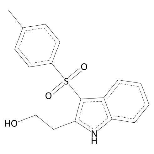 Cc1ccc(S(=O)(=O)c2c(CCO)[nH]c3ccccc23)cc1